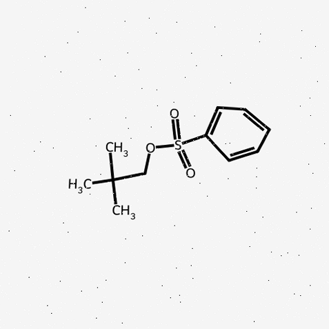 CC(C)(C)COS(=O)(=O)c1ccccc1